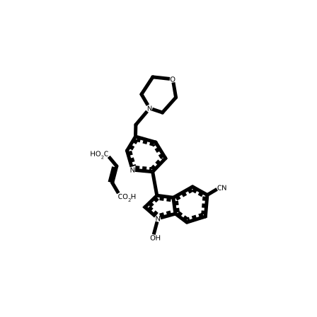 N#Cc1ccc2c(c1)c(-c1ccc(CN3CCOCC3)cn1)cn2O.O=C(O)C=CC(=O)O